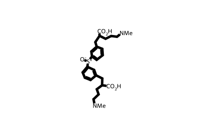 CNCCCC(Cc1cccc([S+]([O-])c2cccc(CC(CCCNC)C(=O)O)c2)c1)C(=O)O